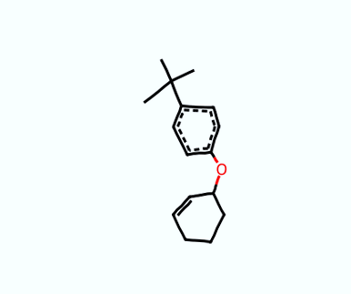 CC(C)(C)c1ccc(OC2C=CCCC2)cc1